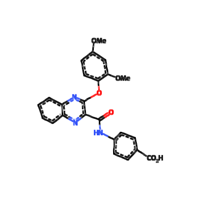 COc1ccc(Oc2nc3ccccc3nc2C(=O)Nc2ccc(C(=O)O)cc2)c(OC)c1